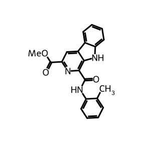 COC(=O)c1cc2c([nH]c3ccccc32)c(C(=O)Nc2ccccc2C)n1